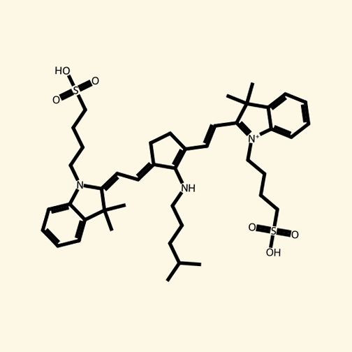 CC(C)CCCNC1=C(/C=C/C2=[N+](CCCCS(=O)(=O)O)c3ccccc3C2(C)C)CC/C1=C\C=C1\N(CCCCS(=O)(=O)O)c2ccccc2C1(C)C